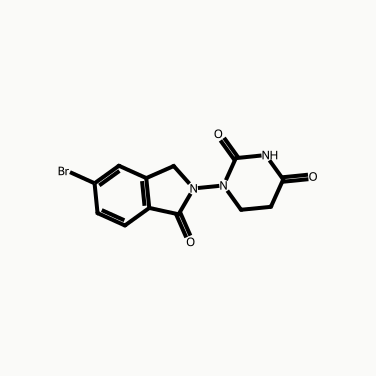 O=C1CCN(N2Cc3cc(Br)ccc3C2=O)C(=O)N1